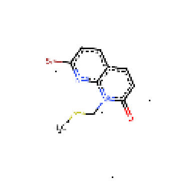 CSCn1c(=O)ccc2ccc(Br)nc21